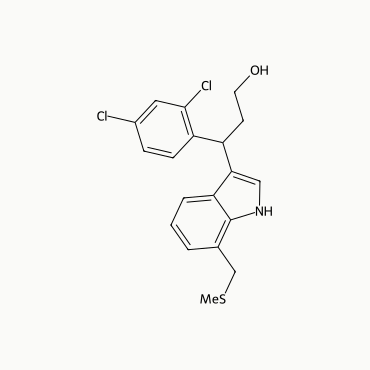 CSCc1cccc2c(C(CCO)c3ccc(Cl)cc3Cl)c[nH]c12